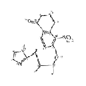 CC(Cc1ncc[nH]1)C(C)Oc1ccc2c(c1[N+](=O)[O-])CCCC2=O